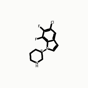 Fc1c(Cl)cc2ccn([C@@H]3CCCNC3)c2c1F